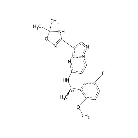 COc1ccc(F)cc1[C@@H](C)Nc1ccn2ncc(C3=NOC(C)(C)N3)c2n1